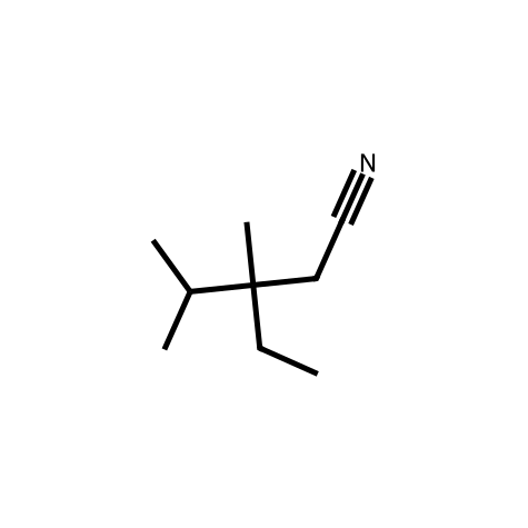 CCC(C)(CC#N)C(C)C